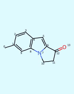 Cc1ccc2cc3n(c2c1)CCC3=O